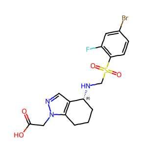 O=C(O)Cn1ncc2c1CCC[C@H]2NCS(=O)(=O)c1ccc(Br)cc1F